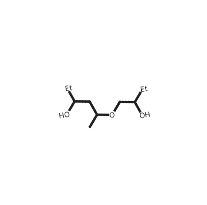 CCC(O)COC(C)CC(O)CC